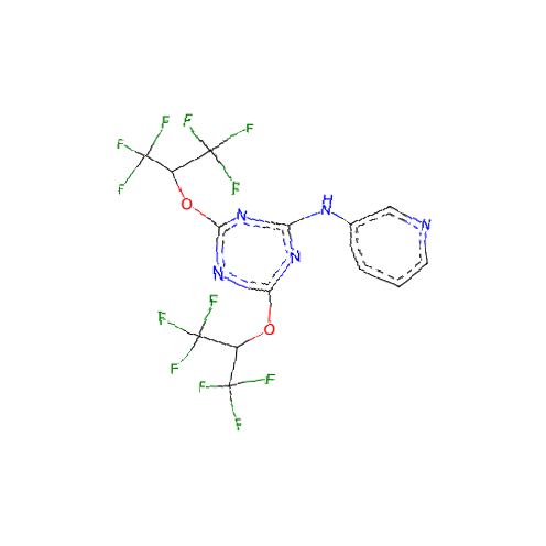 FC(F)(F)C(Oc1nc(Nc2cccnc2)nc(OC(C(F)(F)F)C(F)(F)F)n1)C(F)(F)F